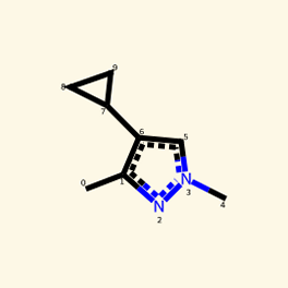 Cc1nn(C)cc1C1CC1